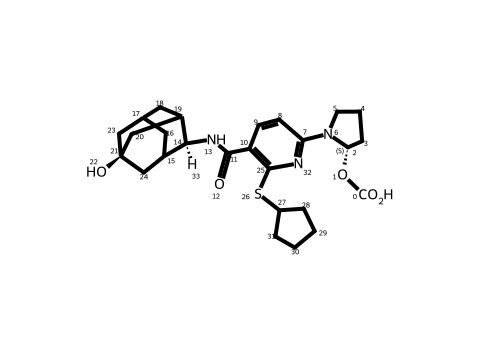 O=C(O)O[C@H]1CCCN1c1ccc(C(=O)N[C@H]2C3CC4CC2C[C@@](O)(C4)C3)c(SC2CCCC2)n1